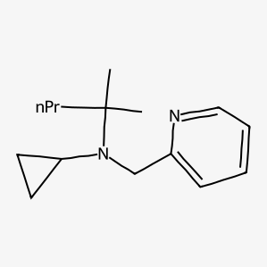 CCCC(C)(C)N(Cc1ccccn1)C1CC1